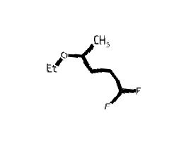 CCOC(C)CCC(F)F